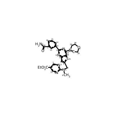 CCOC(=O)c1cnc(N(C)Cc2cc3nc(-c4cccc(C(N)=O)c4)nc(N4CCOCC4)c3s2)nc1